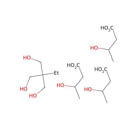 CC(O)CC(=O)O.CC(O)CC(=O)O.CC(O)CC(=O)O.CCC(CO)(CO)CO